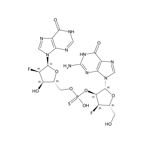 Nc1nc2c(ncn2[C@@H]2O[C@H](CO)[C@@H](F)[C@H]2OP(O)(=S)OC[C@H]2O[C@H](n3cnc4c(=O)[nH]cnc43)[C@H](F)[C@@H]2O)c(=O)[nH]1